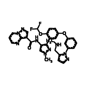 CNCc1ccnn1-c1cccc(Oc2ccc(OC(F)F)c(-c3nn(C)cc3NC(=O)c3cnn4cccnc34)c2)c1